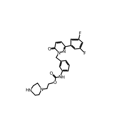 O=C(Nc1cccc(Cn2nc(-c3cc(F)cc(F)c3)ccc2=O)c1)OCCN1CCNCC1